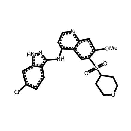 COc1cc2nccc(Nc3n[nH]c4cc(Cl)ccc34)c2cc1S(=O)(=O)C1CCOCC1